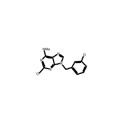 CNc1nc(Cl)nc2c1ncn2Cc1cccc(Cl)c1